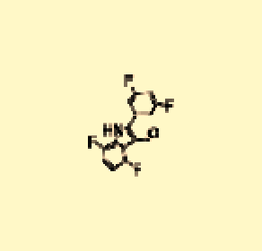 O=Cc1c(-c2cc(F)cc(F)c2)[nH]c2c(F)ccc(F)c12